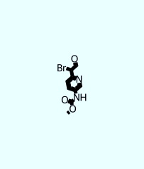 COC(=O)Nc1ccc(C(Br)C=O)nc1